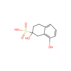 O=S(=O)(O)C1(O)CCc2cccc(O)c2C1